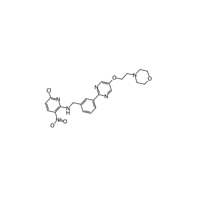 O=[N+]([O-])c1ccc(Cl)nc1NCc1cccc(-c2ncc(OCCN3CCOCC3)cn2)c1